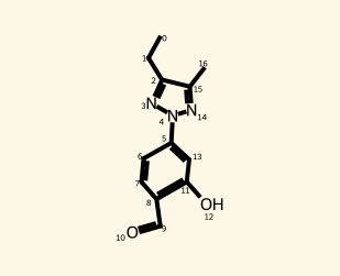 CCc1nn(-c2ccc(C=O)c(O)c2)nc1C